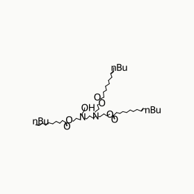 CCCCC=CCCCCCCCC(=O)OCCCN(CCCOC(=O)CCCCCCCC=CCCCC)CCCN(CCO)CCCOC(=O)CCCCCCC/C=C\CCCC